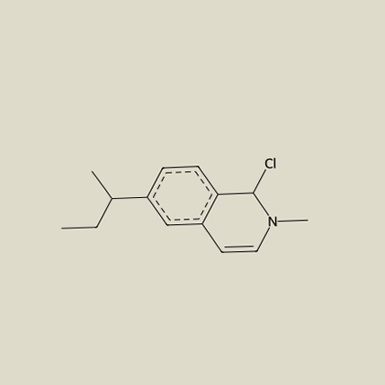 CCC(C)c1ccc2c(c1)C=CN(C)C2Cl